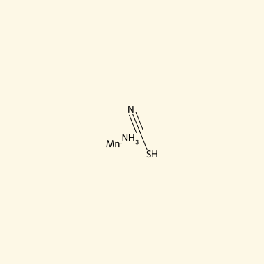 N.N#CS.[Mn]